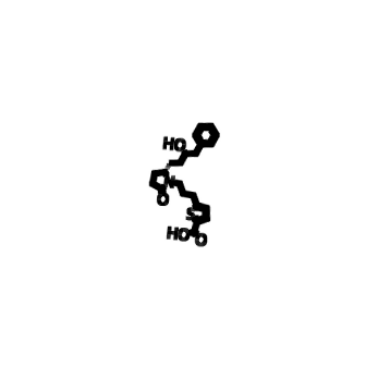 O=C(O)c1ccc(CCCN2C(=O)CC[C@@H]2CCC(O)Cc2ccccc2)s1